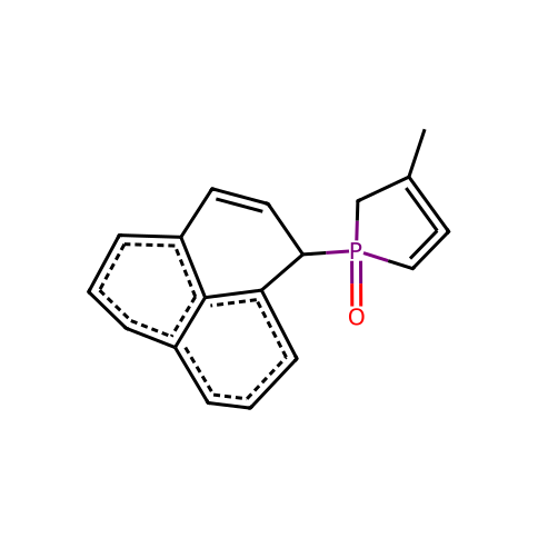 CC1=C=CP(=O)(C2C=Cc3cccc4cccc2c34)C1